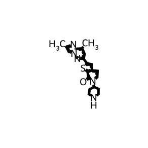 Cc1cn2nc(-c3cc4ccn(C5CCNCC5)c(=O)c4s3)cc(C)c2n1